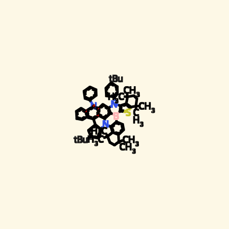 CC(C)(C)c1ccc(N2c3cc(N(c4ccccc4)c4ccccc4)cc4c3B(c3ccc5c(c3N4c3ccc(C(C)(C)C)cc3-c3ccccc3)C(C)(C)CCC5(C)C)c3sc4c(c32)C(C)(C)CCC4(C)C)cc1